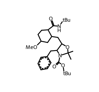 COC1CCC(C(=O)NC(C)(C)C)C(CC2OC(C)(C)N(C(=O)OC(C)(C)C)C2Cc2ccccc2)C1